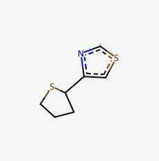 [c]1nc(C2CCCS2)cs1